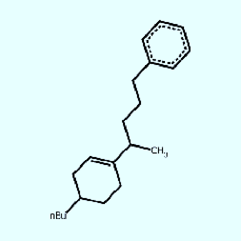 CCCCC1CC=C(C(C)CCCc2ccccc2)CC1